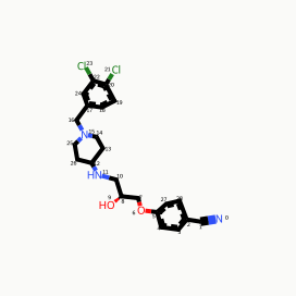 N#Cc1ccc(OC[C@@H](O)CNC2CCN(Cc3ccc(Cl)c(Cl)c3)CC2)cc1